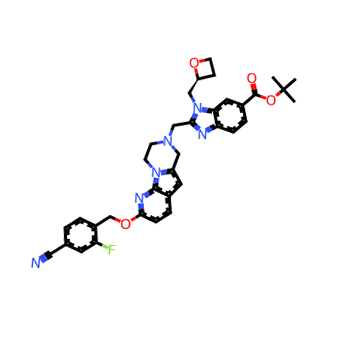 CC(C)(C)OC(=O)c1ccc2nc(CN3CCn4c(cc5ccc(OCc6ccc(C#N)cc6F)nc54)C3)n(C[C@@H]3CCO3)c2c1